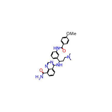 COc1ccc(C(=O)Nc2cccc(C(CCN(C)C)Nc3ncnc4c(C(N)=O)cccc34)c2)cc1